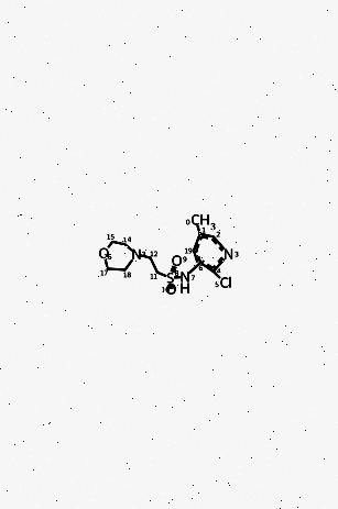 Cc1cnc(Cl)c(NS(=O)(=O)CCN2CCOCC2)c1